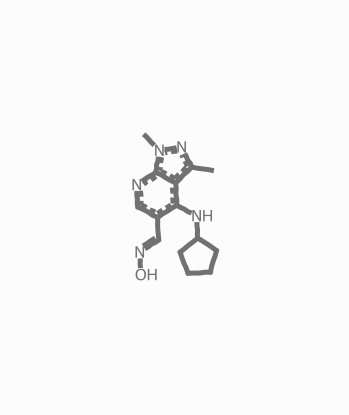 Cc1nn(C)c2ncc(/C=N/O)c(NC3CCCC3)c12